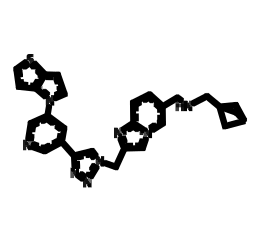 c1cc2c(ccn2-c2cncc(-c3cn(Cc4cn5cc(CNCC67CC(C6)C7)ccc5n4)nn3)c2)s1